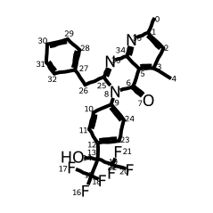 Cc1cc(C)c2c(=O)n(-c3ccc(C(O)(C(F)(F)F)C(F)(F)F)cc3)c(Cc3ccccc3)nc2n1